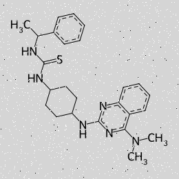 CC(NC(=S)NC1CCC(Nc2nc(N(C)C)c3ccccc3n2)CC1)c1ccccc1